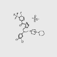 CS(=O)(=O)[O-].O=C(c1ccc(F)c(C(F)(F)F)c1)c1nccn1CC(CC[N+]12CCC(C3CCCCC3)(CC1)CC2)c1ccc(Cl)c(Cl)c1